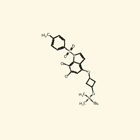 Cc1ccc(S(=O)(=O)n2ccc3c(OC4CC(O[Si](C)(C)C(C)(C)C)C4)cc(Cl)c(Cl)c32)cc1